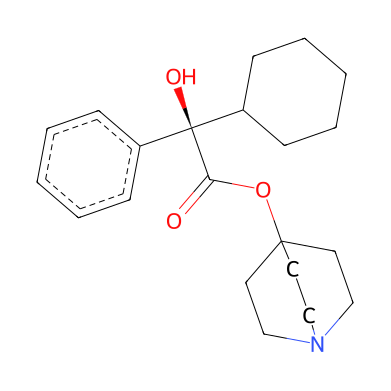 O=C(OC12CCN(CC1)CC2)[C@](O)(c1ccccc1)C1CCCCC1